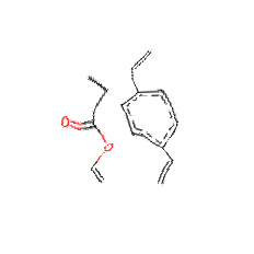 C=COC(=O)CC.C=Cc1ccc(C=C)cc1